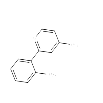 COc1ccccc1-c1cc(C(C)(C)C)ccn1